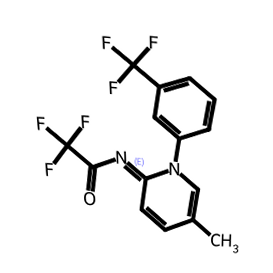 Cc1cc/c(=N\C(=O)C(F)(F)F)n(-c2cccc(C(F)(F)F)c2)c1